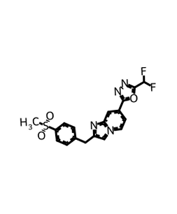 CS(=O)(=O)c1ccc(Cc2cn3ccc(-c4nnc(C(F)F)o4)cc3n2)cc1